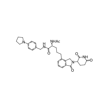 CC(=O)N[C@@H](CCCc1cccc2c1CN(C1CCC(=O)NC1=O)C2=O)C(=O)NCc1ccc(N2CCCC2)cc1